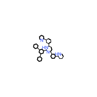 C1=CC(C2=CC=CC(c3ccccn3)C2)NC(c2cc(-c3ccccc3)cc(-c3ccccc3)c2)=NC=1c1cccc(C2CCC=CN2)c1